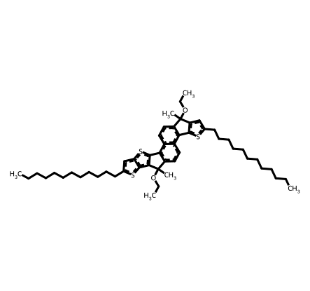 CCCCCCCCCCCCc1cc2c(s1)-c1c(ccc3c4c(ccc13)C(C)(OCC)c1c-4sc3cc(CCCCCCCCCCCC)sc13)C2(C)OCC